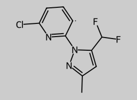 Cc1cc(C(F)F)n(-c2[c]ccc(Cl)n2)n1